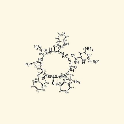 CCCCCCCC(=O)N[C@H](CCN)C(=O)N[C@H]1CCNC(=O)[C@H](Cc2c[nH]c3ccccc23)NC(=O)[C@H](CCN)NC(=O)[C@H](CCN)NC(=O)[C@H](C2Cc3ccccc3C2)NC(=O)[C@@H](Cc2ccccc2)NC(=O)[C@H](CCN)NC1=O